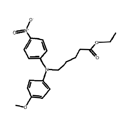 CCOC(=O)CCCCN(c1ccc(OC)cc1)c1ccc([N+](=O)[O-])cc1